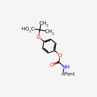 CCCCCNC(=O)Oc1ccc(OC(C)(C)C(=O)O)cc1